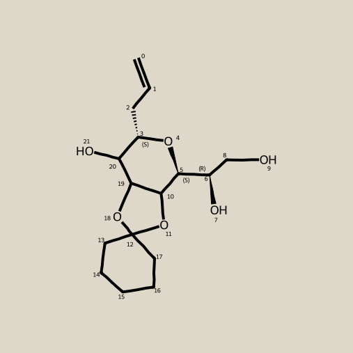 C=CC[C@@H]1O[C@@H]([C@H](O)CO)C2OC3(CCCCC3)OC2C1O